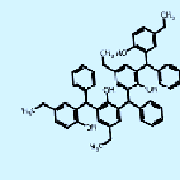 CCc1ccc(O)c(C(c2ccccc2)c2cc(CC)cc(C(c3ccccc3)c3cc(CC)cc(C(c4ccccc4)c4cc(CC)ccc4O)c3O)c2O)c1